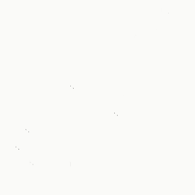 COC(=O)c1ccc2c(c1)c1ncc(-c3c(C)nnn3C)cc1n2[C@H](c1ccccc1)C1CCOCC1